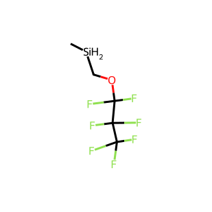 C[SiH2]COC(F)(F)C(F)(F)C(F)(F)F